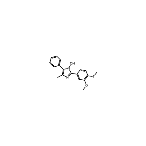 COc1cc(-c2nc(C)c(-c3cccnc3)n2O)ccc1SC